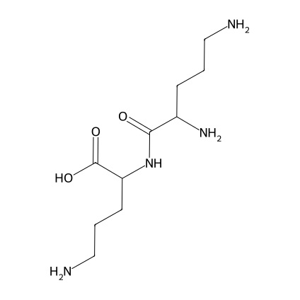 NCCCC(N)C(=O)NC(CCCN)C(=O)O